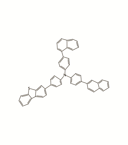 c1ccc2cc(-c3ccc(N(c4ccc(-c5ccc6c(c5)sc5ccccc56)cc4)c4ccc(-c5cccc6ccccc56)cc4)cc3)ccc2c1